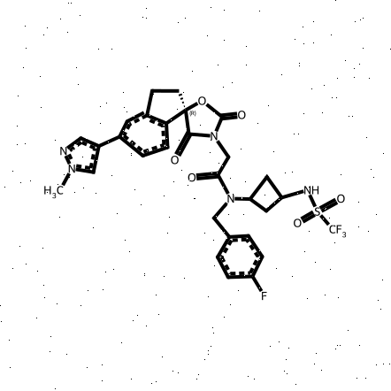 Cn1cc(-c2ccc3c(c2)CC[C@@]32OC(=O)N(CC(=O)N(Cc3ccc(F)cc3)C3CC(NS(=O)(=O)C(F)(F)F)C3)C2=O)cn1